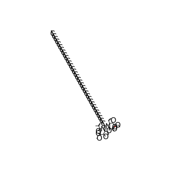 C=C=C=C=C=C=C=C=C=C=C=C=C=C=C=C=C=C=C=C=C=C=C=C=C=C=C=C=C=C=C=C=C=C=C=C(N(C(=O)C(=C)C)C1C=COC1C(=O)OC)N(C(=O)C(C)=O)C1C=COC1C(=O)OC